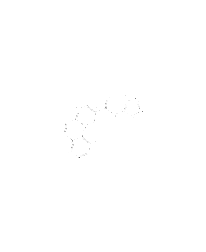 O=C(Nc1nnn[nH]1)C1=CN=C2C=Cc3ccccc3N2C1